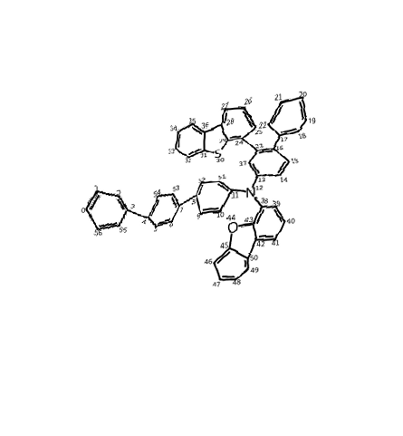 c1ccc(-c2ccc(-c3ccc(N(c4ccc(-c5ccccc5)c(-c5cccc6c5sc5ccccc56)c4)c4cccc5c4oc4ccccc45)cc3)cc2)cc1